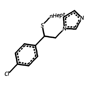 CCCCCCCSC(Cn1ccnc1)c1ccc(Cl)cc1